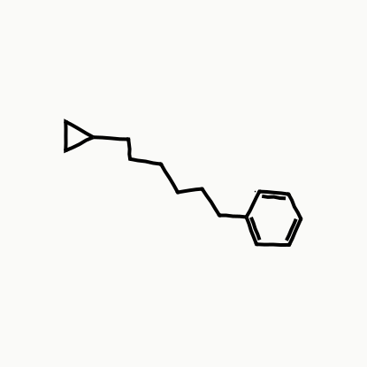 [c]1ccccc1CCCCCCC1CC1